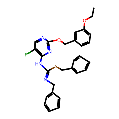 CCOc1cccc(COc2ncc(F)c(N/C(=N/Cc3ccccc3)SCc3ccccc3)n2)c1